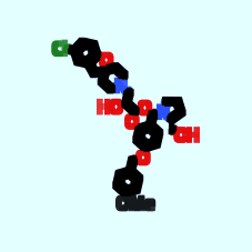 COc1ccc(COc2ccc(C(=O)N3CCC[C@@H]3CO)c(OC[C@@H](O)CN3CCC4(CC3)Cc3cc(Cl)ccc3O4)c2)cc1